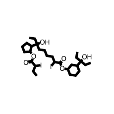 CCC(I)C(=O)OC1CCCC1C(O)(CC)CCCCC(I)C(=O)OC1CCCC(C(O)(CC)CC)C1